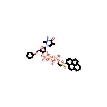 C=C1NC(=O)C(C)=CN1[C@H]1CC(OP(=O)(O)OP(=O)(O)OP(=O)(O)OCCS(=O)(=O)c2ccc3ccc4cccc5ccc2c3c45)[C@@H](COc2ccccc2)O1